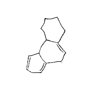 [C]1C=C2CCCCC2C2C=CC=C12